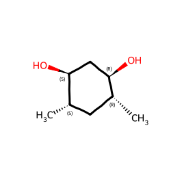 C[C@@H]1C[C@H](C)[C@@H](O)C[C@H]1O